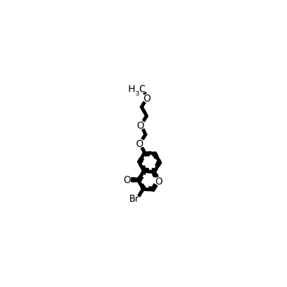 COCCOCOc1ccc2occ(Br)c(=O)c2c1